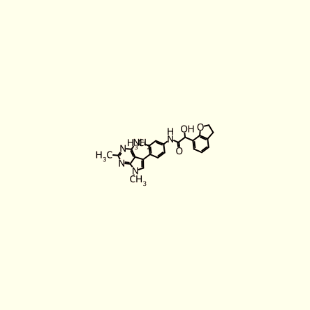 Cc1nc(N)c2c(-c3ccc(NC(=O)C(O)c4cccc5c4OCC5)cc3C)cn(C)c2n1